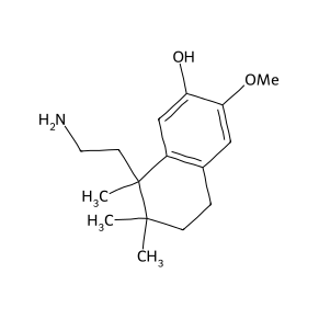 COc1cc2c(cc1O)C(C)(CCN)C(C)(C)CC2